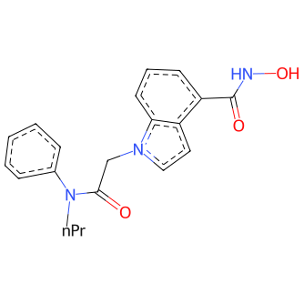 CCCN(C(=O)Cn1ccc2c(C(=O)NO)cccc21)c1ccccc1